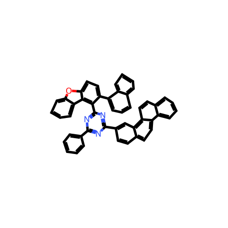 c1ccc(-c2nc(-c3ccc4ccc5c6ccccc6ccc5c4c3)nc(-c3c(-c4cccc5ccccc45)ccc4oc5ccccc5c34)n2)cc1